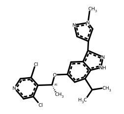 CC(C)c1cc(O[C@H](C)c2c(Cl)cncc2Cl)cc2c(-c3cnn(C)c3)n[nH]c12